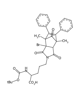 CC(C)(C)OC(=O)NC(CCCN1C(=O)C2C3(C)C(=O)C(C)(C(c4ccccc4)=C3c3ccccc3)C2(Br)C1=O)C(=O)O